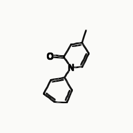 Cc1ccn(-c2ccccc2)c(=O)c1